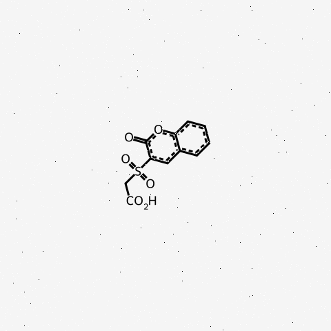 O=C(O)CS(=O)(=O)c1cc2ccccc2oc1=O